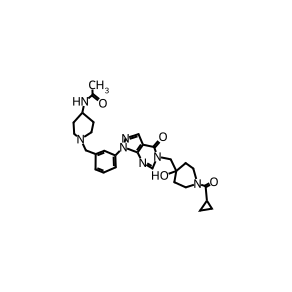 CC(=O)NC1CCN(Cc2cccc(-n3ncc4c(=O)n(CC5(O)CCN(C(=O)C6CC6)CC5)cnc43)c2)CC1